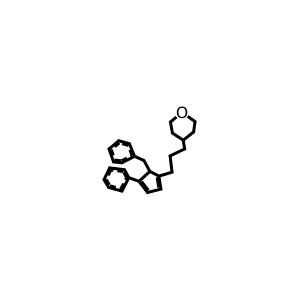 C1=C(CCCC2CCOCC2)C(Cc2ccccc2)C(c2ccccc2)=C1